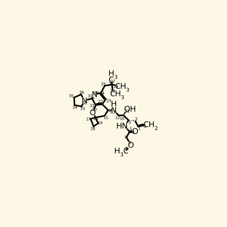 C=CC[C@H](NC(=O)COC)[C@H](O)CN[C@H]1CC2(CCC2)Oc2c1cc(CC(C)(C)C)nc2N1CCCC1